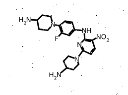 NC1CCN(c2ccc([N+](=O)[O-])c(Nc3ccc(N4CCC(N)CC4)c(F)c3)n2)CC1